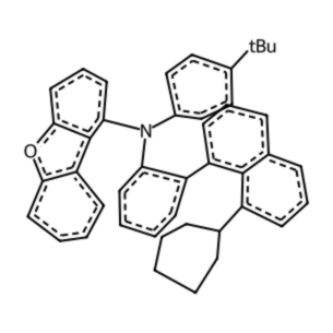 CC(C)(C)c1ccc(N(c2ccccc2-c2cccc3cccc(C4CCCCC4)c23)c2cccc3oc4ccccc4c23)cc1